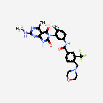 CNc1nc(C)c2c(=O)n(-c3cc(NC(=O)c4ccc(CN5CCOCC5)c(C(F)(F)F)c4)ccc3C)c(=O)[nH]c2n1